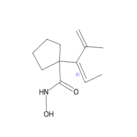 C=C(C)/C(=C\C)C1(C(=O)NO)CCCC1